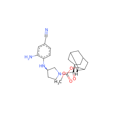 COC(=O)[C@]12CC3CC(C1)[C@@H](OC(=O)N1CC[C@@H](Nc4ccc(C#N)cc4N)C1)C(C3)C2